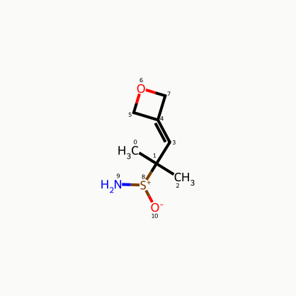 CC(C)(C=C1COC1)[S+](N)[O-]